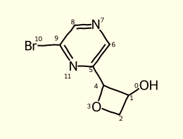 OC1COC1c1cncc(Br)n1